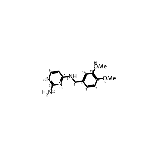 COc1ccc(CNc2ccnc(N)n2)cc1OC